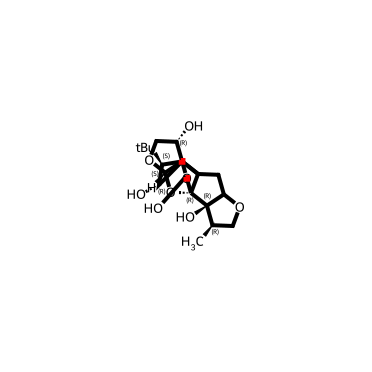 C[C@@H]1COC2CC34C5OC(O)[C@]3(O[C@@H]3OC[C@H](O)C34[C@H](C(C)(C)C)[C@H]5O)[C@]21O